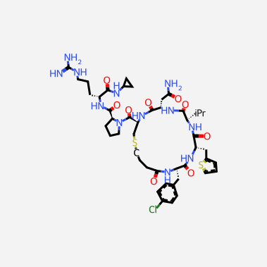 CC(C)[C@@H]1NC(=O)[C@H](Cc2cccs2)NC(=O)[C@H](Cc2ccc(Cl)cc2)NC(=O)CCCSC[C@@H](C(=O)N2CCC[C@H]2C(=O)N[C@H](CCCNC(=N)N)C(=O)NC2CC2)NC(=O)[C@H](CC(N)=O)NC1=O